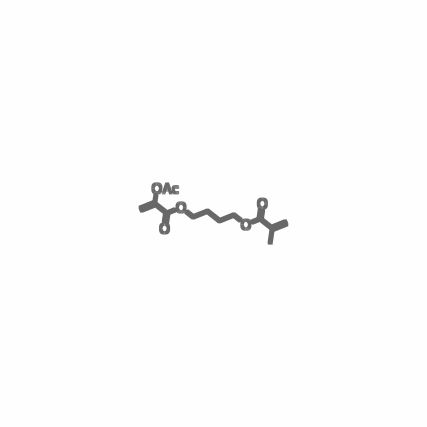 C=C(C)C(=O)OCCCCOC(=O)C(=C)OC(C)=O